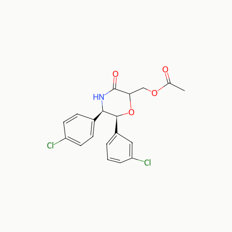 CC(=O)OCC1O[C@@H](c2cccc(Cl)c2)[C@@H](c2ccc(Cl)cc2)NC1=O